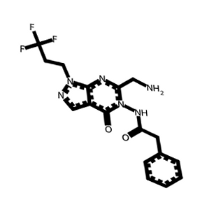 NCc1nc2c(cnn2CCC(F)(F)F)c(=O)n1NC(=O)Cc1ccccc1